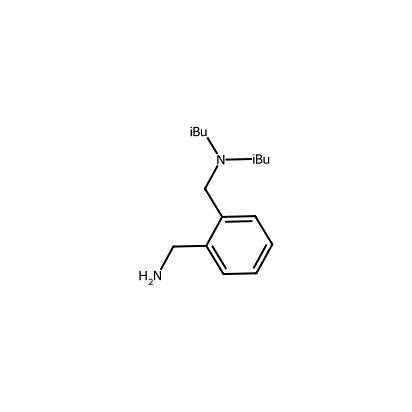 CCC(C)N(Cc1ccccc1CN)C(C)CC